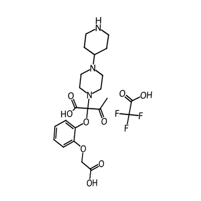 CC(=O)C(Oc1ccccc1OCC(=O)O)(C(=O)O)N1CCN(C2CCNCC2)CC1.O=C(O)C(F)(F)F